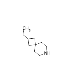 CCC1CC2(CCNCC2)C1